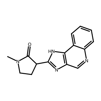 CN1CCC(c2nc3cnc4ccccc4c3[nH]2)C1=O